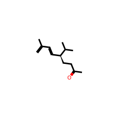 C=C(C)/C=C/[C@H](CCC(C)=O)C(C)C